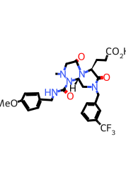 COc1ccc(CNC(=O)N2[C@H]3CN(Cc4cccc(C(F)(F)F)c4)C(=O)[C@H](CCC(=O)O)N3C(=O)CN2C)cc1